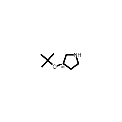 CC(C)(C)O[C@@H]1CCNC1